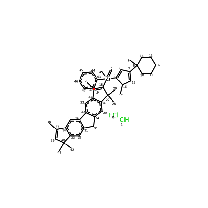 Cl.Cl.[CH2]=[Zr]([CH3])([C]1=CC(C2(C)CCCCC2)=CC1C)([C]1=C(C)c2cc3c(cc2C1(C)C)Cc1cc2c(cc1-3)C(C)=CC2(C)C)[c]1ccccc1